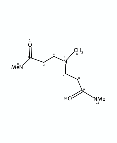 CNC(=O)CCN(C)CCC(=O)NC